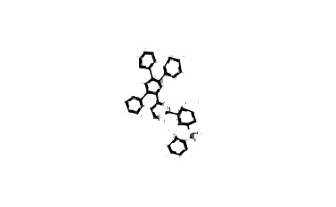 CC(C)(C)c1ccc2c(c1-c1nccc(-c3cc(-c4ccccc4)c(-c4ccccc4)cc3-c3ccccc3)n1)Oc1ccccc1[Si]2(C)C